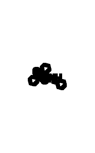 O=C(NCc1ccccc1)c1ccccc1S(=O)(=O)c1ccccc1